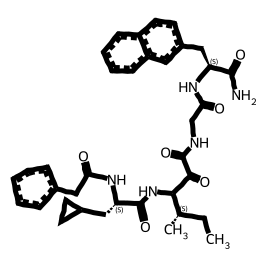 CC[C@H](C)C(NC(=O)[C@H](CC1CC1)NC(=O)Cc1ccccc1)C(=O)C(=O)NCC(=O)N[C@@H](Cc1ccc2ccccc2c1)C(N)=O